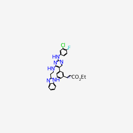 CCOC(=O)/C=C/c1cccc(-c2cnc(Nc3ccc(F)c(Cl)c3)nc2NCCc2nc3ccccc3[nH]2)c1